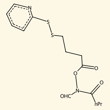 CCCC(=O)N(C=O)OC(=O)CCCSSc1ccccn1